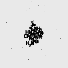 Cc1cc(Nc2nc(NC(CC3CC3)C(N)=O)c(Cl)nc2C(N)=O)sn1